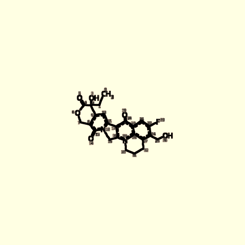 CC[C@@]1(O)C(=O)OCc2c1cc1n(c2=O)Cc2c-1c(=O)c1cc(F)c(CO)c3c1n2CCC3